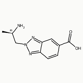 C[C@@H](N)Cn1nc2ccc(C(=O)O)cc2n1